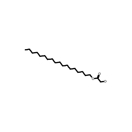 CCCCCCCCCCCCCCCCCCOC(=O)C[O]